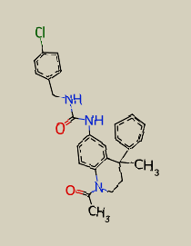 CC(=O)N1CCC(C)(c2ccccc2)c2cc(NC(=O)NCc3ccc(Cl)cc3)ccc21